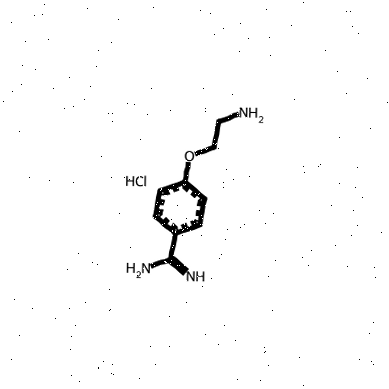 Cl.N=C(N)c1ccc(OCCN)cc1